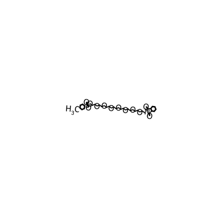 Cc1ccc(S(=O)(=O)OCCOCCOCCOCCOCCOCCOCCOCCN2C(=O)c3ccccc3C2=O)cc1